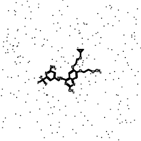 COCCOc1cc2nc(C)nc(NCc3cc(N)nc(C(F)(F)F)c3)c2cc1OCCOC1CC1